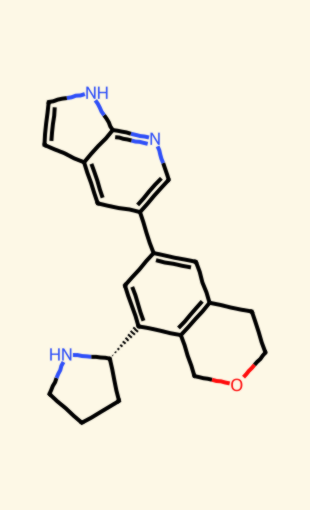 c1cc2cc(-c3cc4c(c([C@@H]5CCCN5)c3)COCC4)cnc2[nH]1